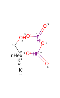 CCCCCCCO.O=[PH]([O-])O[PH](=O)[O-].[K+].[K+]